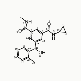 CNC(=O)c1cc(C(=O)NC2CC2)cc(C(O)c2ccccc2C)n1